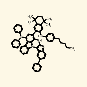 CCCCCc1ccc(Nc2cc3c(cc2-c2cc(N(c4ccccc4)c4ccccc4)c4c5ccccc5n5c4c2Bc2sc4ccc(-c6ccccc6)cc4c2-5)C(C)(C)CCC3(C)C)cc1